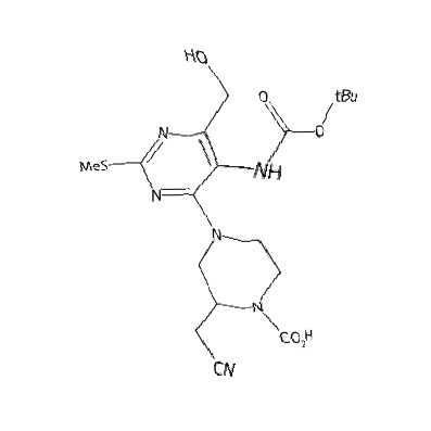 CSc1nc(CO)c(NC(=O)OC(C)(C)C)c(N2CCN(C(=O)O)C(CC#N)C2)n1